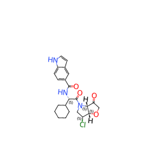 O=C(N[C@H](C(=O)N1C[C@H](Cl)[C@H]2OCC(=O)[C@H]21)C1CCCCC1)c1ccc2[nH]ccc2c1